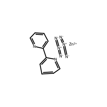 [N-]=[N+]=[N-].[N-]=[N+]=[N-].[Zn+2].c1ccc(-c2ccccn2)nc1